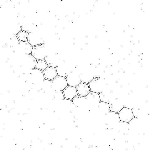 COc1cc2c(Oc3ccc4nc(NC(=O)c5ccsc5)sc4c3)ccnc2cc1OCCCN1CCOCC1